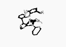 Cc1ccc(N)cc1Nc1ncccc1-c1ncnc2c1nc(C)n2C1CCCCO1